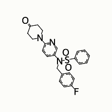 O=C1CCN(c2ccc(N(Cc3ccc(F)cc3)S(=O)(=O)c3ccccc3)cn2)CC1